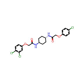 O=C(COc1ccc(Cl)cc1)N[C@H]1CC[C@H](NC(=O)COc2ccc(Cl)c(Cl)c2)CC1